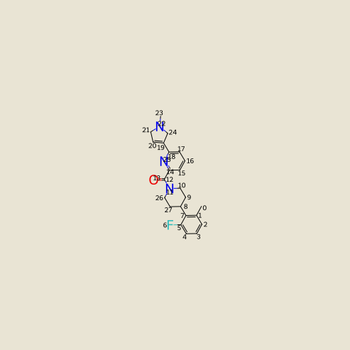 Cc1cccc(F)c1C1CCN(C(=O)c2cccc(C3=CCN(C)C3)n2)CC1